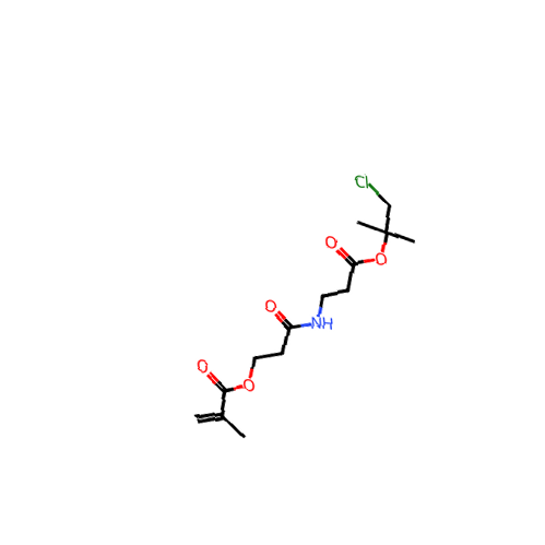 C=C(C)C(=O)OCCC(=O)NCCC(=O)OC(C)(C)CCl